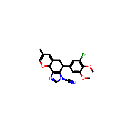 COc1cc(C2CC3=CC(C)=COC3c3ncn(C#N)c32)cc(Br)c1OC